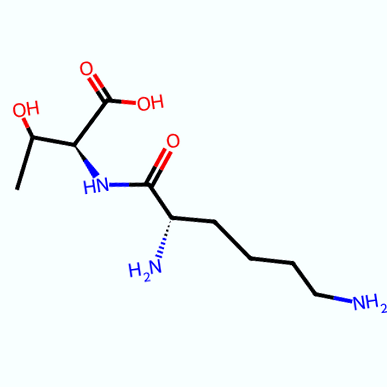 CC(O)[C@H](NC(=O)[C@@H](N)CCCCN)C(=O)O